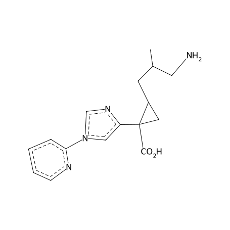 CC(CN)CC1CC1(C(=O)O)c1cn(-c2ccccn2)cn1